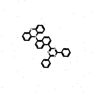 c1ccc(-c2nc(-c3ccccc3)nc(-c3cccc4c(N5c6ccccc6Oc6ccccc65)cccc34)n2)cc1